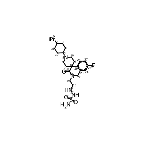 CC(C)C1CCC(N2CCC3(CC2)C(=O)N(CCNNS(N)(=O)=O)Cc2cc(F)ccc23)CC1